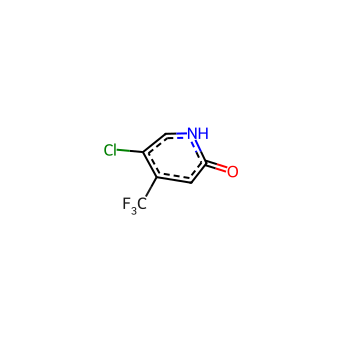 O=c1cc(C(F)(F)F)c(Cl)c[nH]1